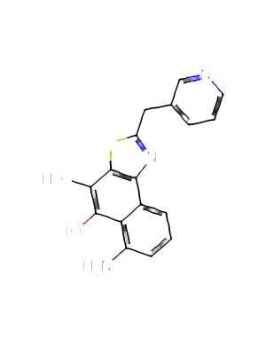 Cc1c(O)c2c(N)cccc2c2nc(Cc3cccnc3)sc12